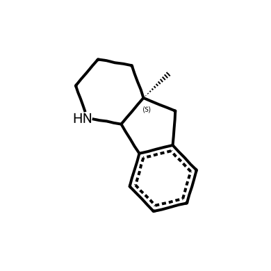 C[C@@]12CCCNC1c1ccccc1C2